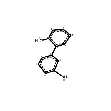 Cc1ccccc1-c1cccc(N)c1